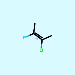 C/C(F)=C(\C)Cl